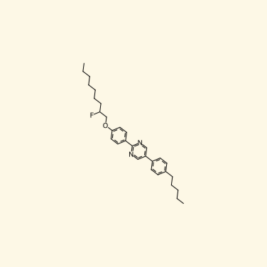 CCCCCCCC(F)COc1ccc(-c2ncc(-c3ccc(CCCCC)cc3)cn2)cc1